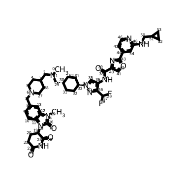 CN(CC1CCN(Cc2ccc3c(c2)n(C)c(=O)n3C2CCC(=O)NC2=O)CC1)C[C@H]1CC[C@H](n2cc(NC(=O)c3coc(-c4ccnc(NCC5CC5)c4)n3)c(C(F)F)n2)CC1